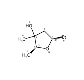 CC[C@@H]1CC(C)(O)[C@H](C)O1